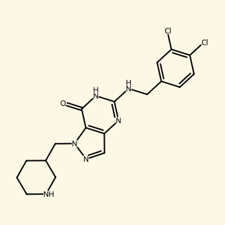 O=c1[nH]c(NCc2ccc(Cl)c(Cl)c2)nc2cnn(CC3CCCNC3)c12